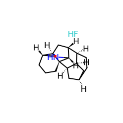 C1C[C@H]2CN[C@@H]3[C@@H]4C[C@H]2[C@@]3(C1)[C@@H]1C[C@@H]2CC[C@H]4[C@H]1C2.F